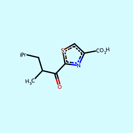 CC(C)CC(C)C(=O)c1nc(C(=O)O)cs1